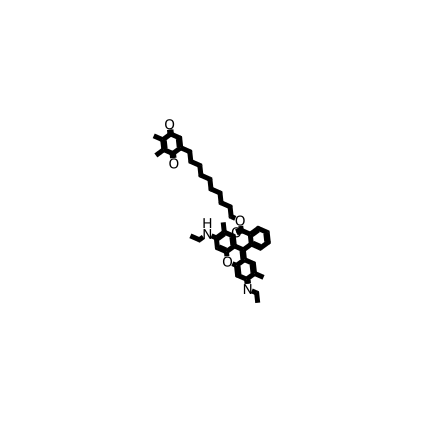 CC/N=c1/cc2oc3cc(NCC)c(C)cc3c(-c3ccccc3C(=O)OCCCCCCCCCCC3=CC(=O)C(C)=C(C)C3=O)c-2cc1C